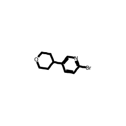 Brc1ccc(C2CCOCC2)cn1